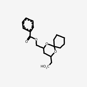 O=C(O)CC1CC(COC(=O)c2ccccc2)OC2(CCCCC2)O1